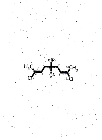 CC(=O)C(C/C=C(\C)Cl)(C/C=C(\C)Cl)C(C)C